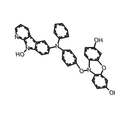 Oc1ccc2c(c1)Oc1cc(O)ccc1N2Oc1ccc(N(c2ccccc2)c2ccc3c(c2)c2cccnc2n3O)cc1